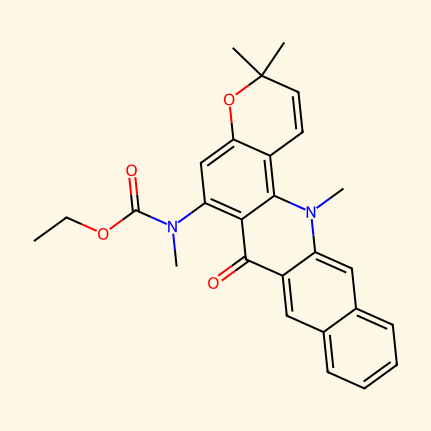 CCOC(=O)N(C)c1cc2c(c3c1c(=O)c1cc4ccccc4cc1n3C)C=CC(C)(C)O2